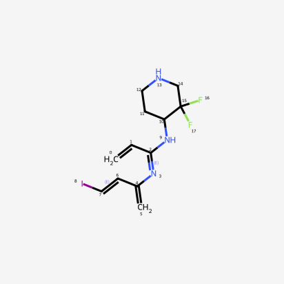 C=C/C(=N\C(=C)/C=C/I)NC1CCNCC1(F)F